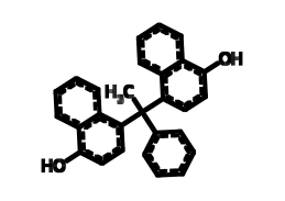 CC(c1ccccc1)(c1ccc(O)c2ccccc12)c1ccc(O)c2ccccc12